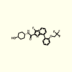 O=C(N[C@H]1CC[C@H](O)CC1)c1nc2c(-c3ccccc3OCC(F)(F)F)cccn2c1F